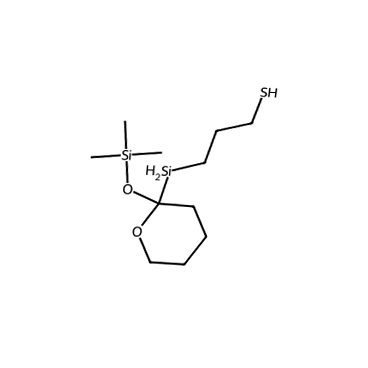 C[Si](C)(C)OC1([SiH2]CCCS)CCCCO1